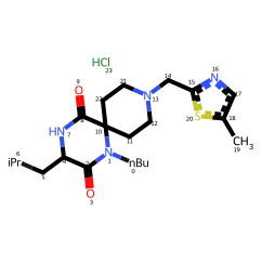 CCCCN1C(=O)C(CC(C)C)NC(=O)C12CCN(Cc1ncc(C)s1)CC2.Cl